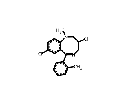 Cc1ccccc1/C1=N/CC(Cl)CN(C)c2ccc(Cl)cc21